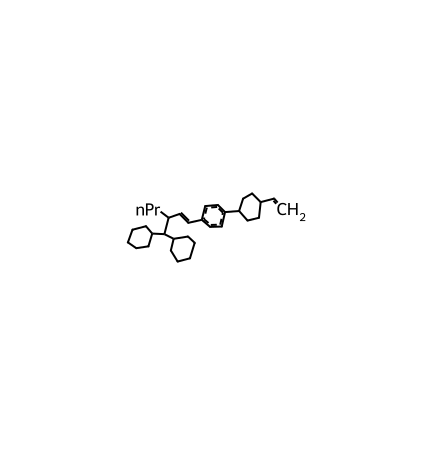 C=CC1CCC(c2ccc(C=CC(CCC)C(C3CCCCC3)C3CCCCC3)cc2)CC1